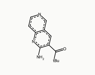 CC(C)(C)C(=O)c1cc2cnccc2nc1N